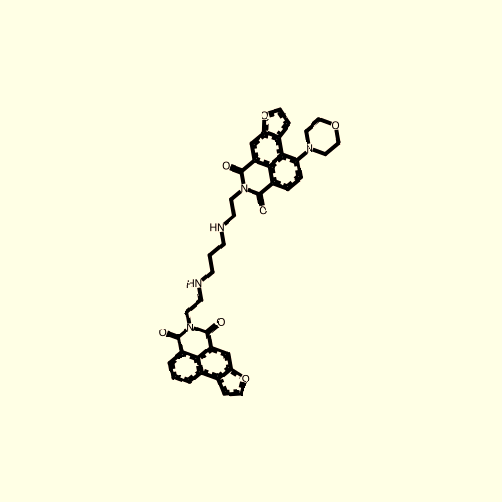 O=C1c2cccc3c2c(cc2occc23)C(=O)N1CCNCCCNCCN1C(=O)c2ccc(N3CCOCC3)c3c2c(cc2occc23)C1=O